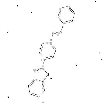 c1ccc(/N=N/c2ccc(-c3nc4ccccc4s3)cc2)cc1